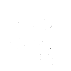 c1ccc(-c2ccc(-c3nc(-c4cccc5c4-c4cccc6c(-c7cccc(-c8ccccc8)c7)ccc(c46)O5)nc4c3sc3ccccc34)cc2)cc1